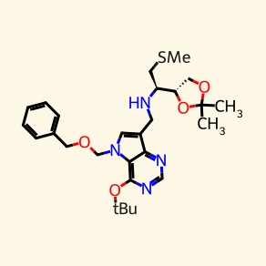 CSC[C@H](NCc1cn(COCc2ccccc2)c2c(OC(C)(C)C)ncnc12)[C@@H]1COC(C)(C)O1